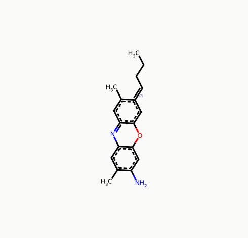 CCC/C=c1/cc2c(cc1C)=Nc1cc(C)c(N)cc1O2